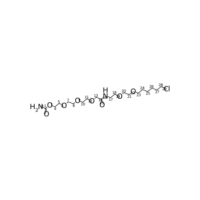 NC(=O)OCCOCCOCCOCC(=O)NCCOCCOCCCCCCCl